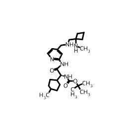 CNC1(CNCc2ccnc(NC(=O)[C@@H](NC(=O)OC(C)(C)C)C3CCC(C)CC3)c2)CCC1